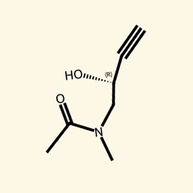 C#C[C@@H](O)CN(C)C(C)=O